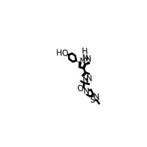 Cc1nc2c(s1)CN(C(=O)C(C)(C)n1cc(-c3cc([C@H]4CC[C@H](O)CC4)n4[nH]ncc34)cn1)C2